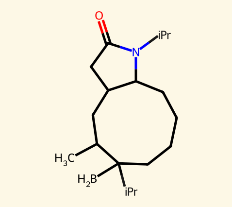 BC1(C(C)C)CCCCC2C(CC(=O)N2C(C)C)CC1C